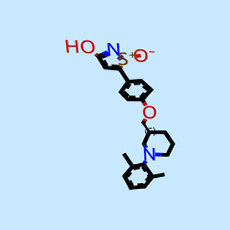 Cc1cccc(C)c1N1CCC[C@H](COc2ccc(-c3cc(O)n[s+]3[O-])cc2)C1